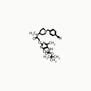 Cc1nc(OCC(=O)N(C)C2CCN(Cc3ccc(C#N)cc3)CC2)nc(C)c1NC(=O)OC(C)(C)C